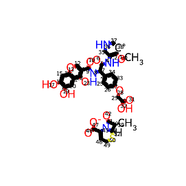 COC1=C(NC(=O)C(NC(=O)c2coc3cc(O)c(O)cc3c2=O)c2ccc(OCC(=O)O)cc2)CNC=[C+]1.C[C@H]1C(=O)N2C(C(=O)[O-])=CCS[C@@H]12